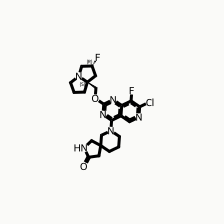 O=C1CC2(CCCN(c3nc(OC[C@@]45CCCN4C[C@H](F)C5)nc4c(F)c(Cl)ncc34)C2)CN1